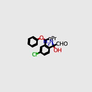 CCCC(Oc1ccccc1)c1cc(Cl)ccc1C(N)(O)C=O